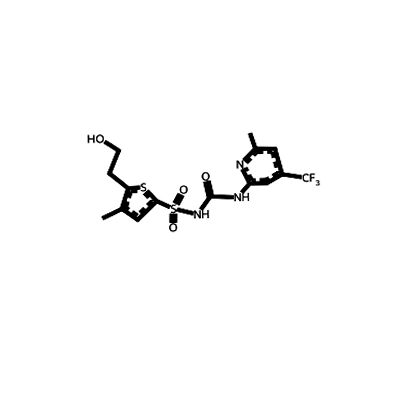 Cc1cc(C(F)(F)F)cc(NC(=O)NS(=O)(=O)c2cc(C)c(CCO)s2)n1